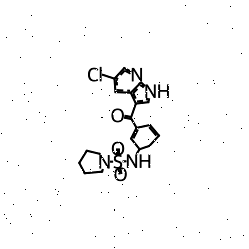 O=C(C1=CC(NS(=O)(=O)N2CCCCC2)CC=C1)c1c[nH]c2ncc(Cl)cc12